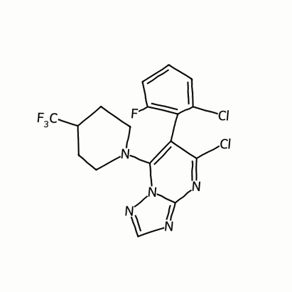 Fc1cccc(Cl)c1-c1c(Cl)nc2ncnn2c1N1CCC(C(F)(F)F)CC1